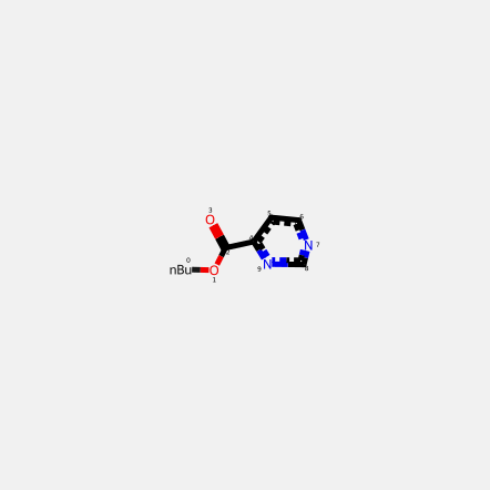 CCCCOC(=O)c1ccncn1